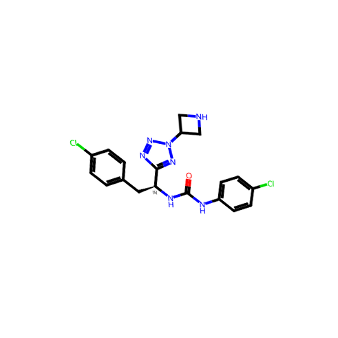 O=C(Nc1ccc(Cl)cc1)N[C@@H](Cc1ccc(Cl)cc1)c1nnn(C2CNC2)n1